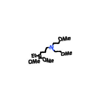 CC[Si](CCCN(CCOC)CCOC)(OC)OC